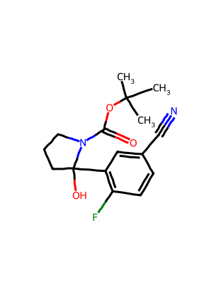 CC(C)(C)OC(=O)N1CCCC1(O)c1cc(C#N)ccc1F